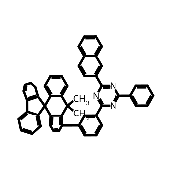 CC1(C)c2ccccc2C2(C3=C(C=CCC3)c3ccccc32)c2cccc(-c3cccc(-c4nc(-c5ccccc5)nc(-c5ccc6ccccc6c5)n4)c3)c21